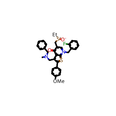 CC[S+]([O-])Cc1cn(Cc2ccccc2F)c2sc(-c3ccc(OC)cc3)c(CN(C)Cc3ccccc3)c2c1=O